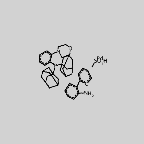 CS(=O)(=O)O.Nc1ccccc1-c1[c-]cccc1.[Pd].c1ccc(P(C23CC4CC(CC(C4)C2)C3)C23CC4CC(CC(C4)C2)C3)c(N2CCOCC2)c1